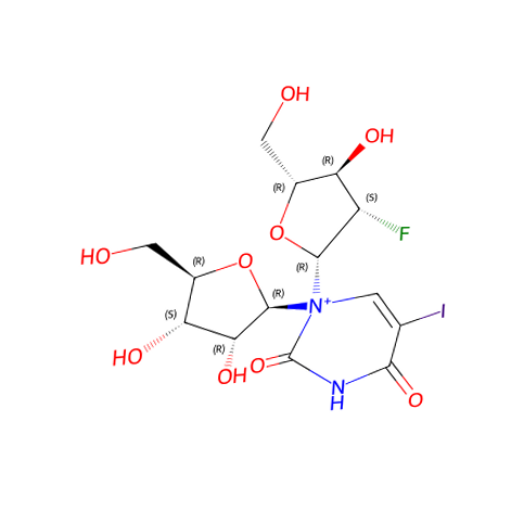 O=C1NC(=O)[N+]([C@@H]2O[C@H](CO)[C@@H](O)[C@H]2O)([C@@H]2O[C@H](CO)[C@@H](O)[C@@H]2F)C=C1I